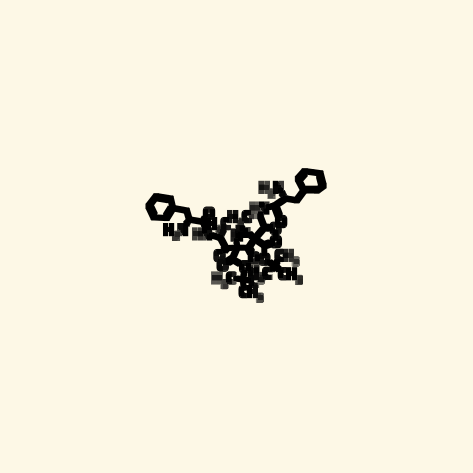 C[C@H](NC(=O)[C@@H](N)Cc1ccccc1)C(=O)C(Br)(C(=O)OC(C)(C)C)C(=O)C(Br)(C(=O)OC(C)(C)C)C(=O)[C@H](C)NC(=O)[C@@H](N)Cc1ccccc1